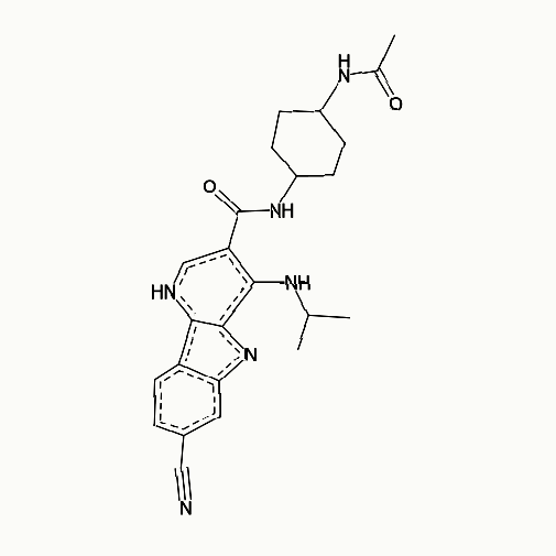 CC(=O)NC1CCC(NC(=O)c2c[nH]c3c4ccc(C#N)cc4nc-3c2NC(C)C)CC1